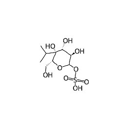 CC(C)[C@@]1(O)[C@H](O)[C@@H](O)C(OS(=O)(=O)O)O[C@@H]1CO